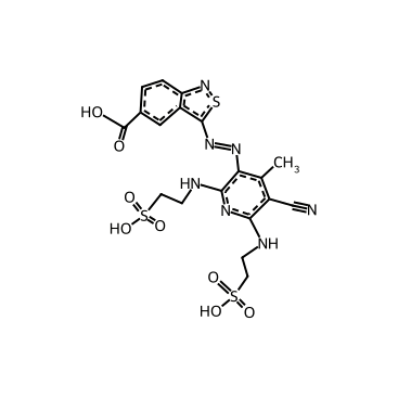 Cc1c(C#N)c(NCCS(=O)(=O)O)nc(NCCS(=O)(=O)O)c1/N=N/c1snc2ccc(C(=O)O)cc12